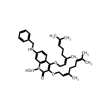 CCCCCCCCn1c(=O)c(OCC=C(C)CCC=C(C)C)c(OCC=C(C)CCC=C(C)C)c2ccc(NCc3ccccc3)cc21